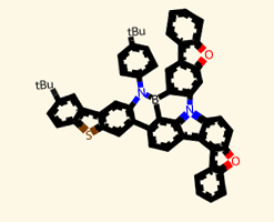 CC(C)(C)c1ccc(N2B3c4cc5c(cc4-n4c6ccc7oc8ccccc8c7c6c6ccc(c3c64)-c3cc4sc6ccc(C(C)(C)C)cc6c4cc32)oc2ccccc25)cc1